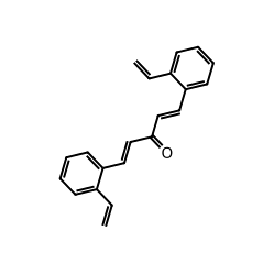 C=Cc1ccccc1/C=C/C(=O)/C=C/c1ccccc1C=C